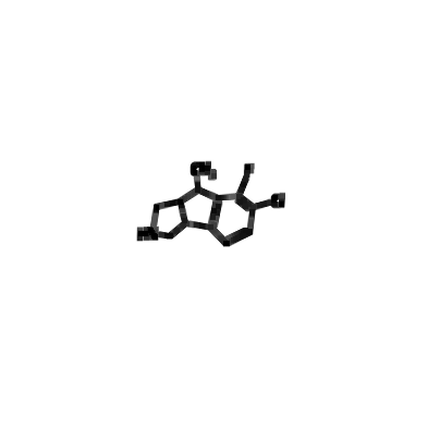 CC1c2c(ccc(Cl)c2F)C2CNCC12